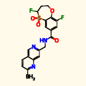 Bc1ccc2cnc(CNC(=O)c3cc(F)c4c(c3)S(=O)(=O)C(F)CCO4)cc2n1